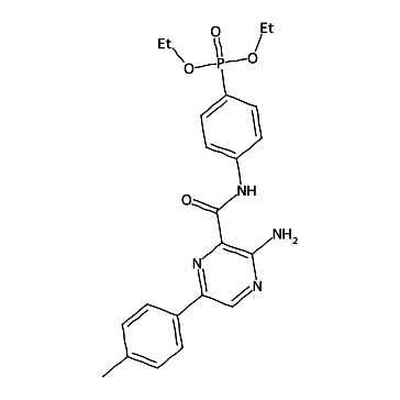 CCOP(=O)(OCC)c1ccc(NC(=O)c2nc(-c3ccc(C)cc3)cnc2N)cc1